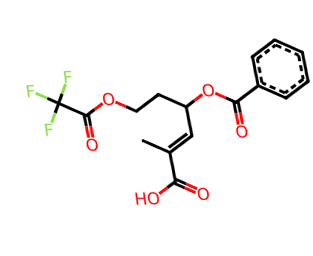 CC(=CC(CCOC(=O)C(F)(F)F)OC(=O)c1ccccc1)C(=O)O